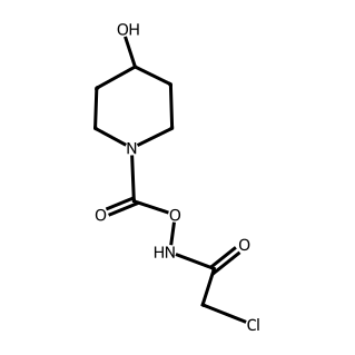 O=C(CCl)NOC(=O)N1CCC(O)CC1